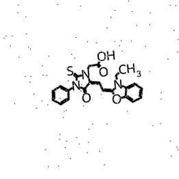 CCN1C(=CC=C2C(=O)N(c3ccccc3)C(=S)N2CC(=O)O)Oc2ccccc21